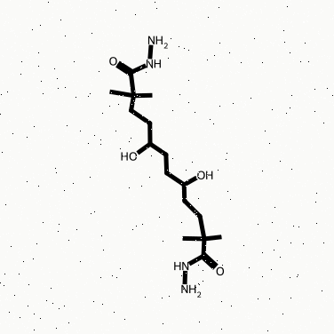 CC(C)(CCC(O)CCC(O)CCC(C)(C)C(=O)NN)C(=O)NN